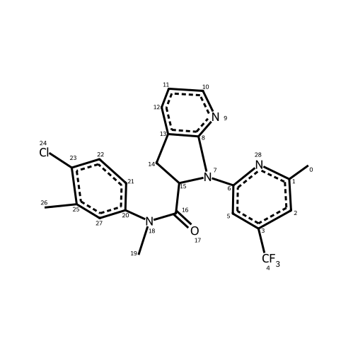 Cc1cc(C(F)(F)F)cc(N2c3ncccc3CC2C(=O)N(C)c2ccc(Cl)c(C)c2)n1